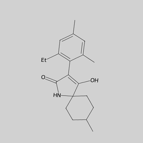 CCc1cc(C)cc(C)c1C1=C(O)C2(CCC(C)CC2)NC1=O